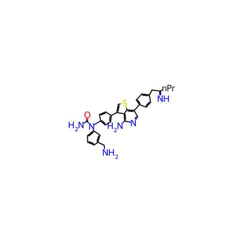 CCCC(=N)Cc1ccc(-c2cnc(N)c3c(-c4ccc(N(C(N)=O)c5cccc(CN)c5)cc4)csc23)cc1